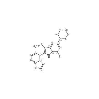 CCc1c(-c2ccnc3[nH]ncc23)[nH]c2c(F)cc(C3CCNCC3)cc12